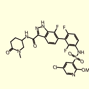 COc1ncc(Cl)cc1S(=O)(=O)Nc1ccc(F)c(-c2ccc3c(C(=O)NC4CCC(=O)N(C)C4)n[nH]c3c2F)c1F